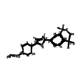 CCCCCN1CCC(c2nnc(-c3ccc4c(c3)C(C)(C)CCC4(C)C)o2)CC1